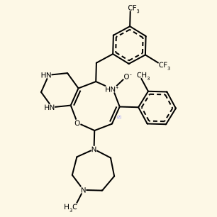 Cc1ccccc1/C1=C/C(N2CCCN(C)CC2)OC2=C(CNCN2)C(Cc2cc(C(F)(F)F)cc(C(F)(F)F)c2)[NH+]1[O-]